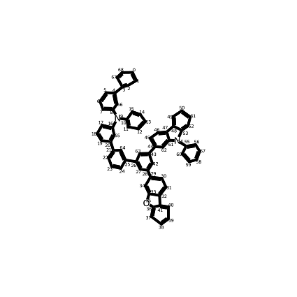 c1ccc(-c2cccc(N(c3ccccc3)c3cccc(-c4cccc(-c5cc(-c6ccc7c(c6)oc6ccccc67)cc(-c6ccc7c8ccccc8n(-c8ccccc8)c7c6)c5)c4)c3)c2)cc1